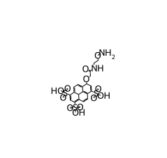 NOCCNC(=O)COC1C=C(S(=O)(=O)O)C2=C3C1=CC=C1C(S(=O)(=O)O)=CC(S(=O)(=O)O)=C(C=C2)C13